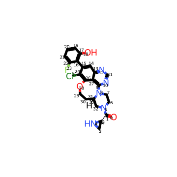 O=C([C@@H]1CN1)N1CCN2c3ncnc4cc(-c5c(O)cccc5F)c(Cl)c(c34)OCC[C@@H]2C1